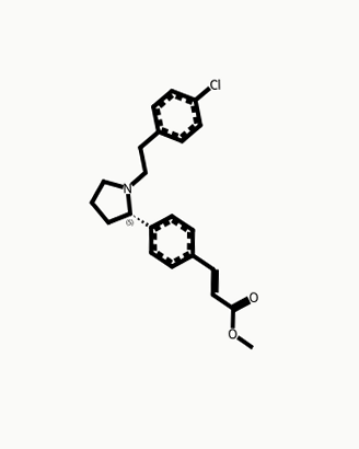 COC(=O)C=Cc1ccc([C@@H]2CCCN2CCc2ccc(Cl)cc2)cc1